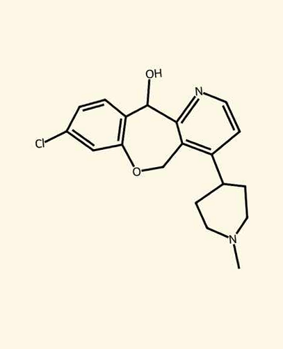 CN1CCC(c2ccnc3c2COc2cc(Cl)ccc2C3O)CC1